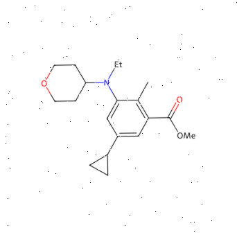 CCN(c1cc(C2CC2)cc(C(=O)OC)c1C)C1CCOCC1